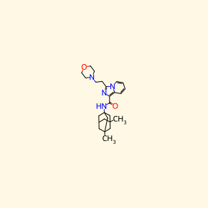 CC12CC3CC(C)(C1)CC(NC(=O)c1nc(CCN4CCOCC4)n4ccccc14)(C3)C2